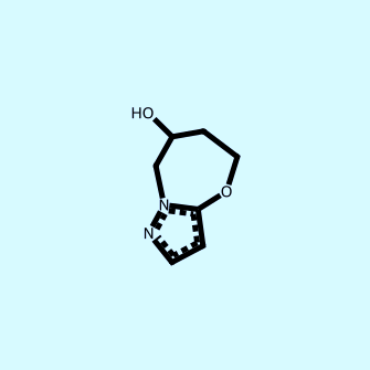 OC1CCOc2ccnn2C1